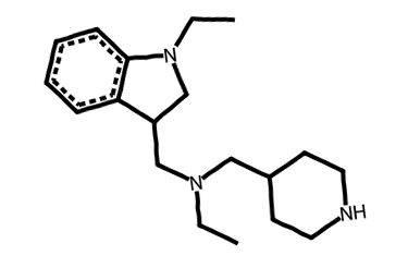 CCN(CC1CCNCC1)CC1CN(CC)c2ccccc21